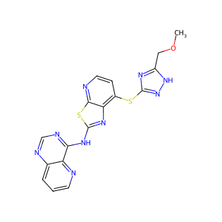 COCc1nc(Sc2ccnc3sc(Nc4ncnc5cccnc45)nc23)n[nH]1